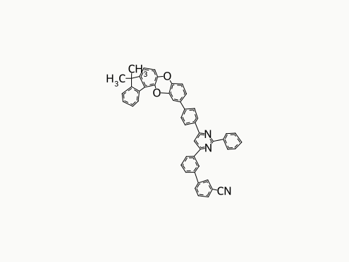 CC1(C)c2ccccc2-c2c1ccc1c2Oc2cc(-c3ccc(-c4cc(-c5cccc(-c6cccc(C#N)c6)c5)nc(-c5ccccc5)n4)cc3)ccc2O1